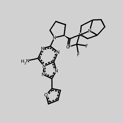 Nc1nc(N2CCC[C@H]2C(=O)N2CC3CCC(C2)N3CC(F)(F)F)nc2nc(-c3ccco3)nn12